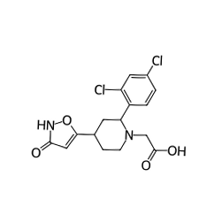 O=C(O)CN1CCC(c2cc(=O)[nH]o2)CC1c1ccc(Cl)cc1Cl